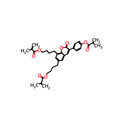 C=C(C)C(=O)OCCCCc1cc(CCCCOC(=O)C(=C)C)c2oc(=O)c(-c3ccc(OC(=O)C(=C)C)cc3)cc2c1